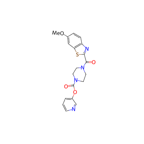 COc1ccc2nc(C(=O)N3CCN(C(=O)Oc4cccnc4)CC3)sc2c1